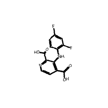 O=C(O)c1ccnc(C(=O)O)c1Nc1ccc(F)cc1F